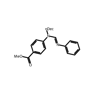 CCCCCCCCCCN(C=Nc1ccccc1)c1ccc(C(=O)OC)cc1